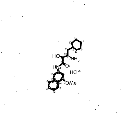 COc1cc(NC(=O)C(O)[C@H](N)CC2CCCCC2)cc2ccccc12.Cl